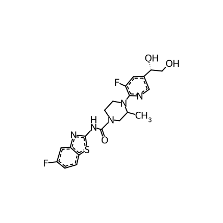 CC1CN(C(=O)Nc2nc3cc(F)ccc3s2)CCN1c1ncc([C@H](O)CO)cc1F